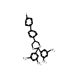 FC(F)(F)c1cc(C(F)(F)F)cc(C2(c3cc(C(F)(F)F)cc(C(F)(F)F)c3)OCC(c3ccc(-c4ccc(I)cc4)cc3)CO2)c1